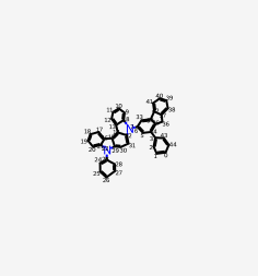 c1ccc(-c2cc(-n3c4ccccc4c4c5c6ccccc6n(-c6ccccc6)c5ccc43)cc3c2Cc2ccccc2-3)cc1